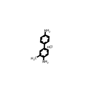 Cc1cc(-c2ccc(N)cc2)ccc1N.Cl